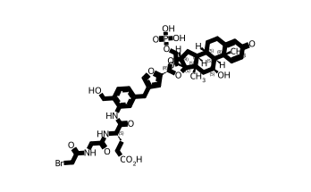 C[C@]12C=CC(=O)C=C1CC[C@@H]1[C@@H]2[C@@H](O)C[C@@]2(C)[C@H]1C[C@H]1O[C@@H](c3cc(Cc4ccc(CO)c(NC(=O)[C@H](CCC(=O)O)NC(=O)CNC(=O)CBr)c4)co3)O[C@]12C(=O)COP(=O)(O)O